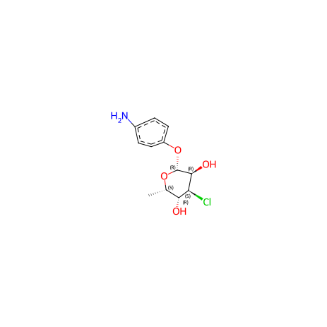 C[C@@H]1O[C@H](Oc2ccc(N)cc2)[C@@H](O)[C@@H](Cl)[C@@H]1O